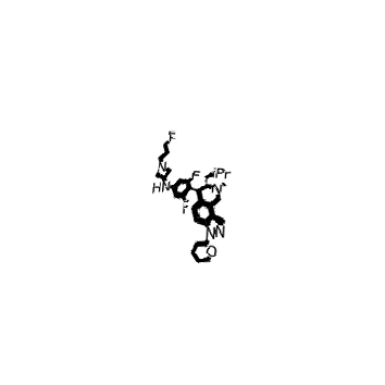 CC(C)C[C@H]1[C@H](c2c(F)cc(NC3CN(CCCF)C3)cc2F)c2ccc3c(cnn3C3CCCCO3)c2CN1C